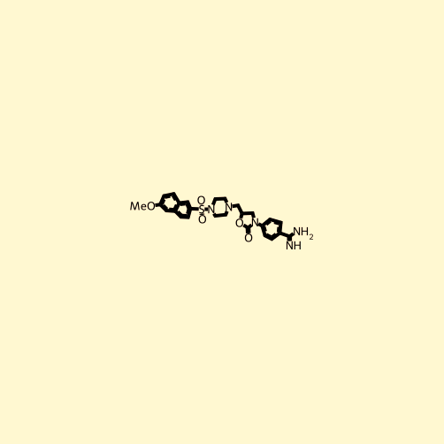 COc1ccc2cc(S(=O)(=O)N3CCN(CC4CN(c5ccc(C(=N)N)cc5)C(=O)O4)CC3)ccc2c1